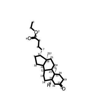 CCOC(=O)CCC[C@H]1CCC2C3CC[C@@H]4CC(=O)CC[C@]4(C)C3CC[C@@]21C